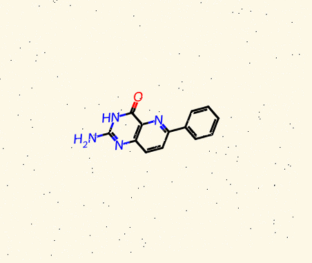 Nc1nc2ccc(-c3ccccc3)nc2c(=O)[nH]1